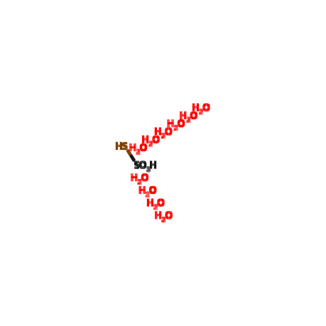 O.O.O.O.O.O.O.O.O.O.O=S(=O)(O)S